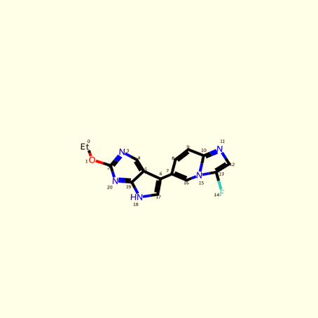 CCOc1ncc2c(-c3ccc4ncc(F)n4c3)c[nH]c2n1